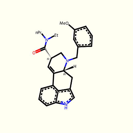 CCCN(CC)C(=O)[C@H]1C=C2c3cccc4[nH]cc(c34)C[C@H]2N(Cc2cccc(OC)c2)C1